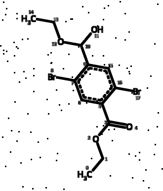 CCOC(=O)c1cc(Br)c(C(O)OCC)cc1Br